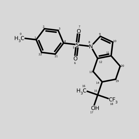 Cc1ccc(S(=O)(=O)n2ccc3c2CC(C(C)(O)C(F)(F)F)CC3)cc1